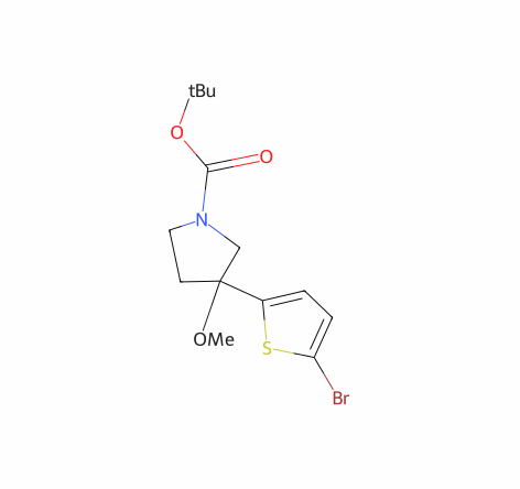 COC1(c2ccc(Br)s2)CCN(C(=O)OC(C)(C)C)C1